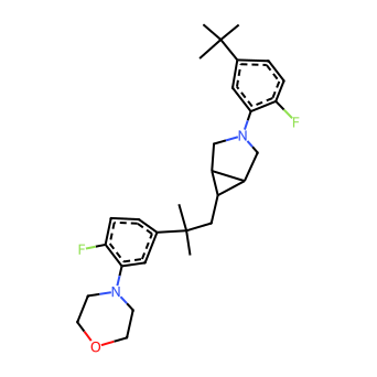 CC(C)(C)c1ccc(F)c(N2CC3C(C2)C3CC(C)(C)c2ccc(F)c(N3CCOCC3)c2)c1